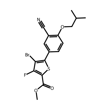 COC(=O)c1sc(-c2ccc(OCC(C)C)c(C#N)c2)c(Br)c1F